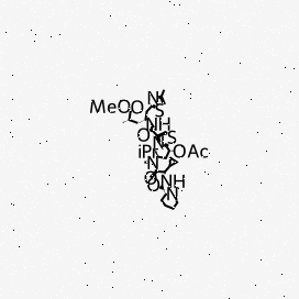 COC(=O)[C@@H](C)C[C@H](Cc1nc(C)cs1)NC(=O)c1csc([C@@H](C[C@H](C(C)C)N(C)C(=O)[C@@H](NC(=O)[C@H]2CCCCN2C)C2CC2)OC(C)=O)n1